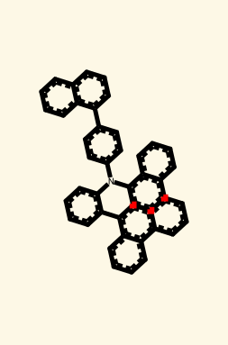 c1ccc(N(c2ccc(-c3cccc4ccccc34)cc2)c2cccc3ccccc23)c(-c2cc3ccccc3c3ccccc23)c1